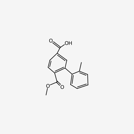 COC(=O)c1ccc(C(=O)O)cc1-c1ccccc1C